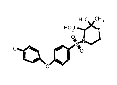 CC1(C)SCCN(S(=O)(=O)c2ccc(Oc3ccc(Cl)cc3)cc2)C1C(=O)O